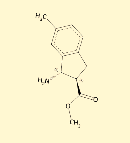 COC(=O)[C@@H]1Cc2ccc(C)cc2[C@H]1N